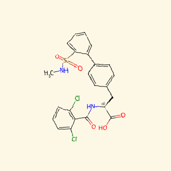 CNS(=O)(=O)c1ccccc1-c1ccc(C[C@H](NC(=O)c2c(Cl)cccc2Cl)C(=O)O)cc1